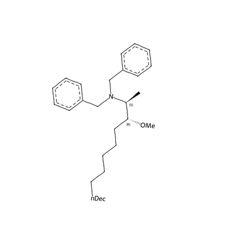 CCCCCCCCCCCCCCC[C@@H](OC)[C@H](C)N(Cc1ccccc1)Cc1ccccc1